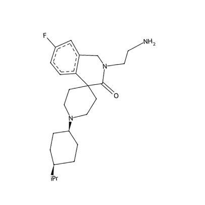 CC(C)[C@H]1CC[C@@H](N2CCC3(CC2)C(=O)N(CCN)Cc2cc(F)ccc23)CC1